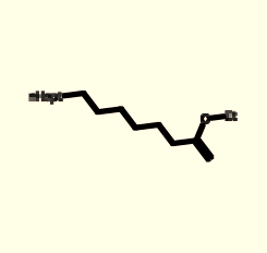 C=C(CCCCCCCCCCCCC)OCC